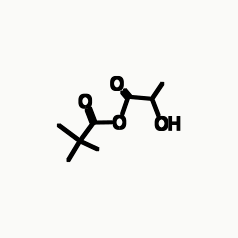 CC(O)C(=O)OC(=O)C(C)(C)C